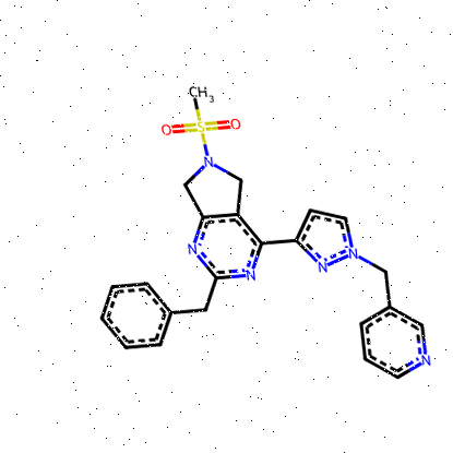 CS(=O)(=O)N1Cc2nc(Cc3ccccc3)nc(-c3ccn(Cc4cccnc4)n3)c2C1